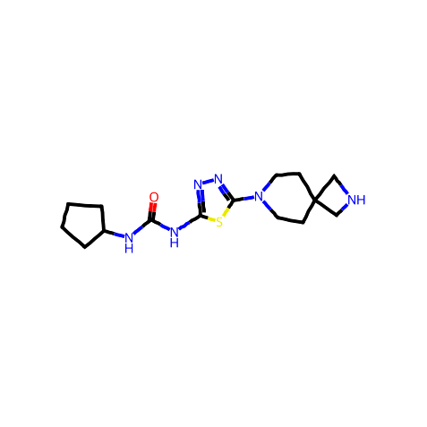 O=C(Nc1nnc(N2CCC3(CC2)CNC3)s1)NC1CCCC1